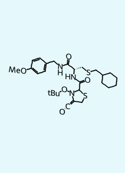 COc1ccc(CNC(=O)[C@H](CSCC2CCCCC2)NC(=O)C2SCC(=C=O)N2OC(C)(C)C)cc1